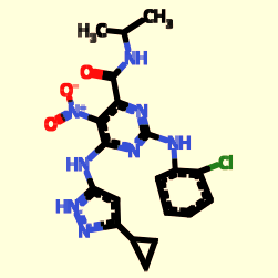 CC(C)NC(=O)c1nc(Nc2ccccc2Cl)nc(Nc2cc(C3CC3)n[nH]2)c1[N+](=O)[O-]